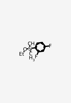 CCO[Si](C)(C)c1ccc(F)cc1F